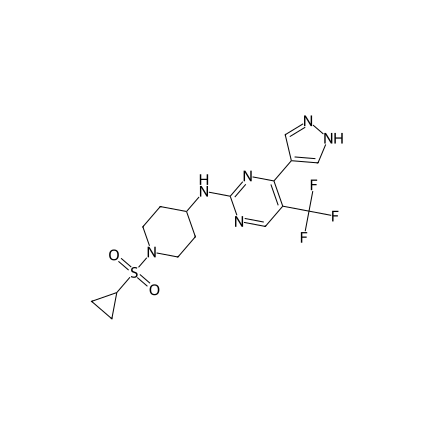 O=S(=O)(C1CC1)N1CCC(Nc2ncc(C(F)(F)F)c(-c3cn[nH]c3)n2)CC1